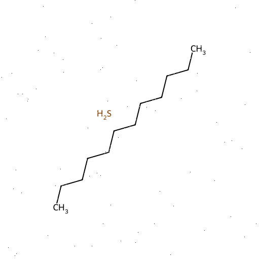 CCCCCCCCCCCC.S